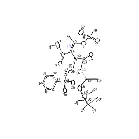 COC(=O)/C(=C(\C)OS(C)(=O)=O)N1C(=O)[C@H](C(C)O[Si](C)(C)C(C)(C)C)[C@H]1SS(=O)(=O)c1ccccc1